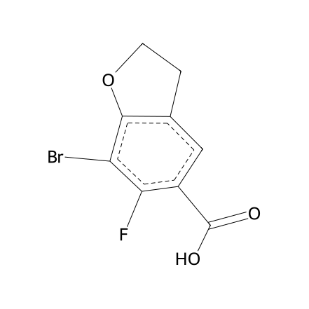 O=C(O)c1cc2c(c(Br)c1F)OCC2